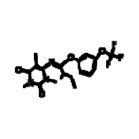 CCC(C)/C(=N\c1c(C)c(=O)n(C)c(=O)n1C)Oc1cccc(OC(F)(F)F)c1